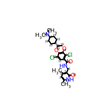 Cc1cc(C)c(CNC(=O)c2cc(Cl)c3c(c2Cl)OC[C@@H](C2CCC(N(C)C)CC2)O3)c(=O)[nH]1